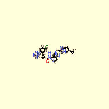 O=C(Nc1nccc2nn(Cc3cn4cc(C5CC5)ccc4n3)cc12)[C@H]1C[C@@H]1c1cc(Cl)ccc1-n1cnnn1